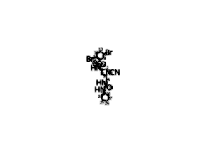 N#CN1C[C@H](NS(=O)(=O)c2cc(Br)ccc2Br)C[C@@H]1CNC(=O)Nc1ccccc1